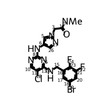 CNC(=O)Cn1cc(Nc2ncc(Cl)c(NCc3cc(Br)cc(F)c3F)n2)cn1